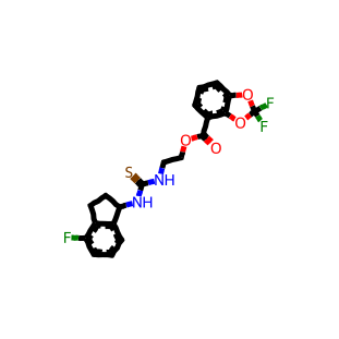 O=C(OCCNC(=S)NC1CCc2c(F)cccc21)c1cccc2c1OC(F)(F)O2